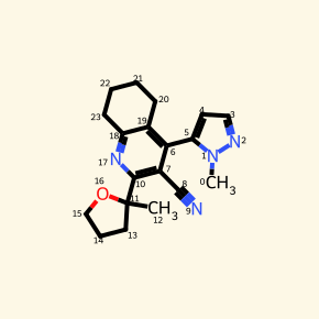 Cn1nccc1-c1c(C#N)c(C2(C)CCCO2)nc2c1CCCC2